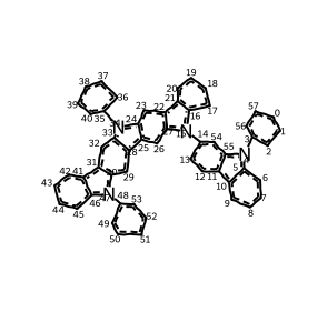 c1ccc(-n2c3ccccc3c3ccc(-n4c5ccccc5c5cc6c(cc54)c4cc5c(cc4n6-c4ccccc4)c4ccccc4n5-c4ccccc4)cc32)cc1